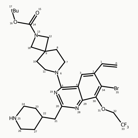 C=Cc1cc2c(N3CCC4(CC3)CN(C(=O)OC(C)(C)C)C4)nc(CC3CCNCC3)nc2c(OCC(F)(F)F)c1Br